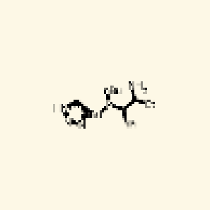 CCCCP(CCCC)C(CCC)C(N)CC.c1c[nH]nn1